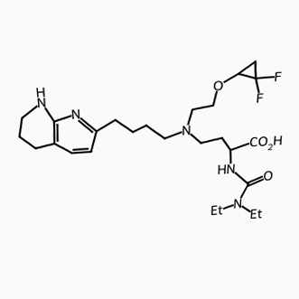 CCN(CC)C(=O)NC(CCN(CCCCc1ccc2c(n1)NCCC2)CCOC1CC1(F)F)C(=O)O